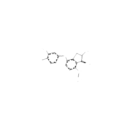 N#Cc1cc(Oc2ccc(SC(F)(F)F)c3c2[C@H](O)C(F)C3=O)ccc1F